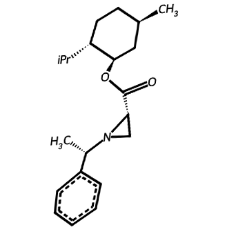 CC(C)[C@@H]1CC[C@@H](C)C[C@H]1OC(=O)[C@@H]1CN1[C@@H](C)c1ccccc1